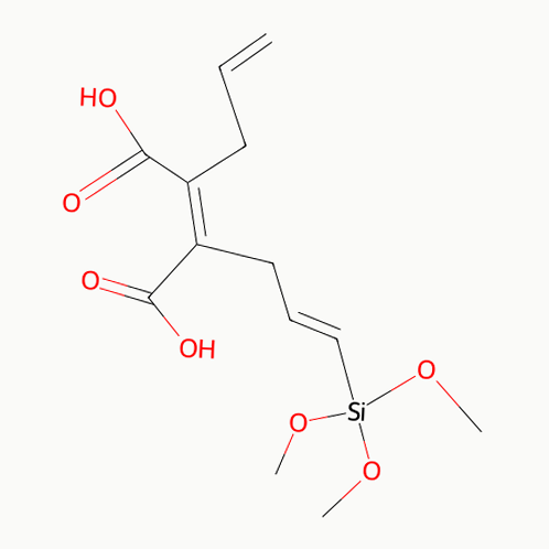 C=CC/C(C(=O)O)=C(\CC=C[Si](OC)(OC)OC)C(=O)O